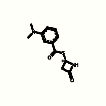 CN(C)c1cccc(C(=O)S[C@@H]2CC(=O)N2)c1